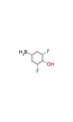 Bc1cc(F)c(O)c(F)c1